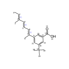 C/C=C(C)/C=C/C=C(\C)c1cc(C(=O)O)cc(C(C)(C)C)c1